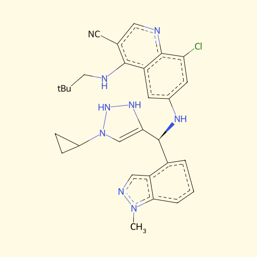 Cn1ncc2c([C@H](Nc3cc(Cl)c4ncc(C#N)c(NCC(C)(C)C)c4c3)C3=CN(C4CC4)NN3)cccc21